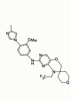 COc1cc(Nc2ncc3c(n2)N(CC(F)(F)F)C2(CCOCC2)CO3)ccc1-n1cnc(C)c1